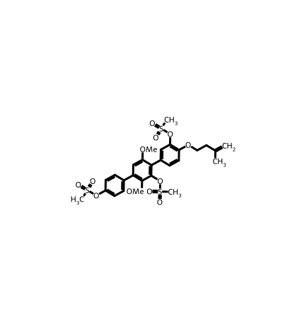 C=C(C)CCOc1ccc(-c2c(OC)cc(-c3ccc(OS(C)(=O)=O)cc3)c(OC)c2OS(C)(=O)=O)cc1OS(C)(=O)=O